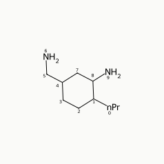 CCCC1CCC(CN)CC1N